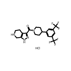 Cl.O=C(c1n[nH]c2c1CCNC2)N1CCC(c2cc(C(F)(F)F)cc(C(F)(F)F)c2)CC1